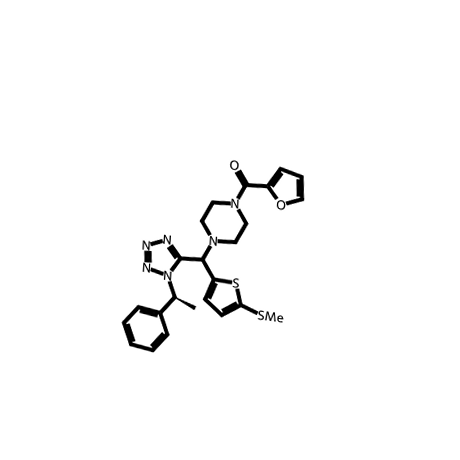 CSc1ccc(C(c2nnnn2[C@@H](C)c2ccccc2)N2CCN(C(=O)c3ccco3)CC2)s1